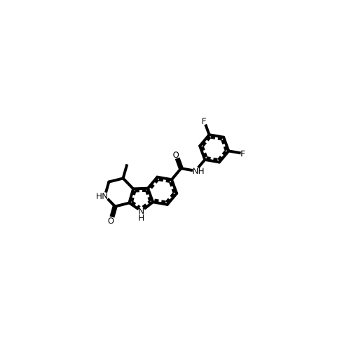 CC1CNC(=O)c2[nH]c3ccc(C(=O)Nc4cc(F)cc(F)c4)cc3c21